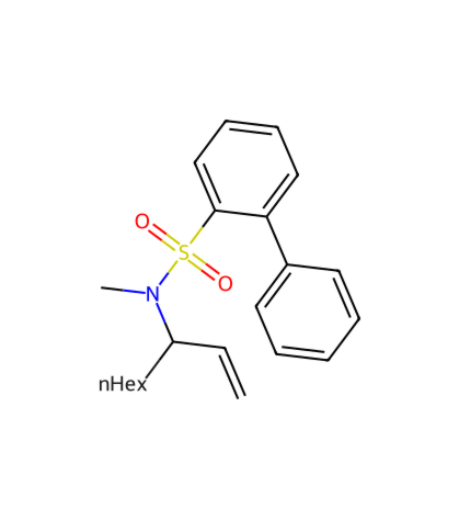 C=CC(CCCCCC)N(C)S(=O)(=O)c1ccccc1-c1ccccc1